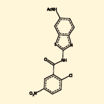 CC(=O)Nc1ccc2nc(NC(=O)c3cc([N+](=O)[O-])ccc3Cl)sc2c1